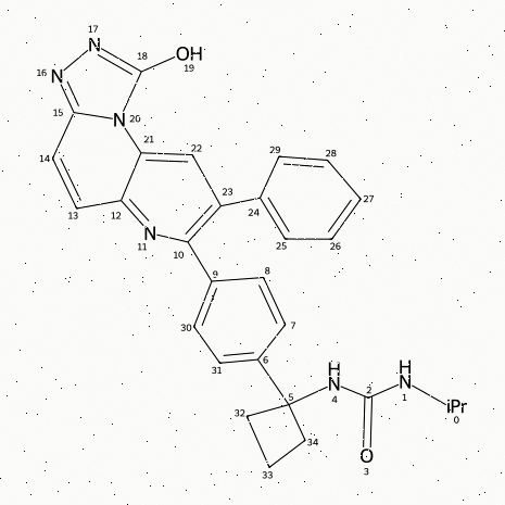 CC(C)NC(=O)NC1(c2ccc(-c3nc4ccc5nnc(O)n5c4cc3-c3ccccc3)cc2)CCC1